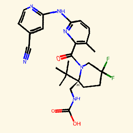 Cc1ccc(Nc2cc(C#N)ccn2)nc1C(=O)N1CC(F)(F)CC[C@]1(CNC(=O)O)C(C)(C)C